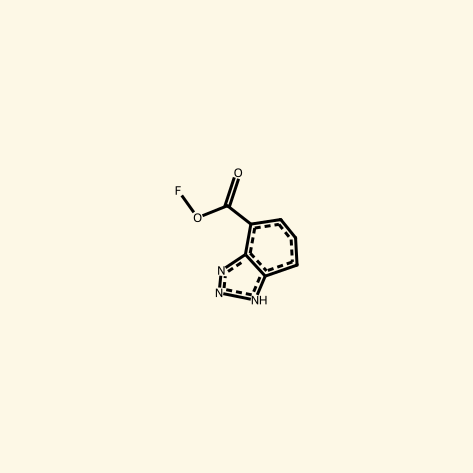 O=C(OF)c1cccc2[nH]nnc12